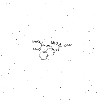 CO[SiH](OC)OC.CO[SiH](OC)OC.c1ccc2ccccc2c1